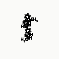 CNC(=S)Nc1ccc(-c2cc3c(N[C@H](C)c4ccccc4)ncnc3[nH]2)cc1